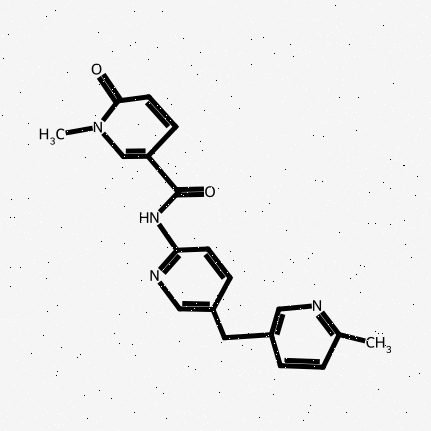 Cc1ccc(Cc2ccc(NC(=O)c3ccc(=O)n(C)c3)nc2)cn1